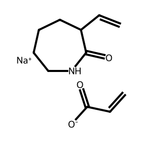 C=CC(=O)[O-].C=CC1CCCCNC1=O.[Na+]